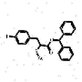 CC(=O)SC(Cc1ccc(F)cc1)C(=O)OC(c1ccccc1)c1ccccc1